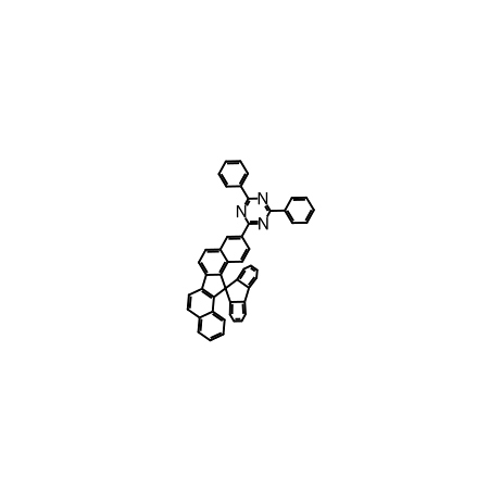 c1ccc(-c2nc(-c3ccccc3)nc(-c3ccc4c5c(ccc4c3)-c3ccc4ccccc4c3C53c4ccccc4-c4ccccc43)n2)cc1